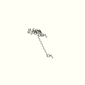 CCCCCCCCCCCCCCCCC(C)(O[Si](C)(C)C)C(=O)O[SiH3]